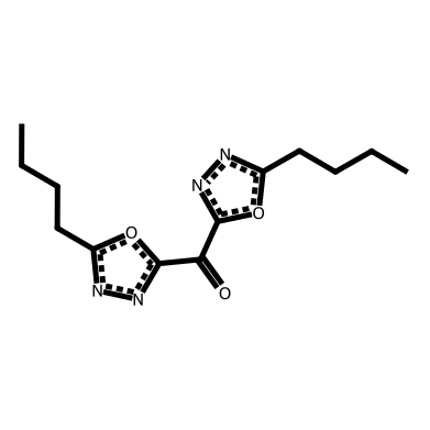 CCCCc1nnc(C(=O)c2nnc(CCCC)o2)o1